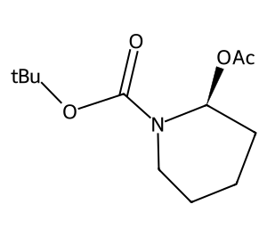 CC(=O)O[C@H]1CCCCN1C(=O)OC(C)(C)C